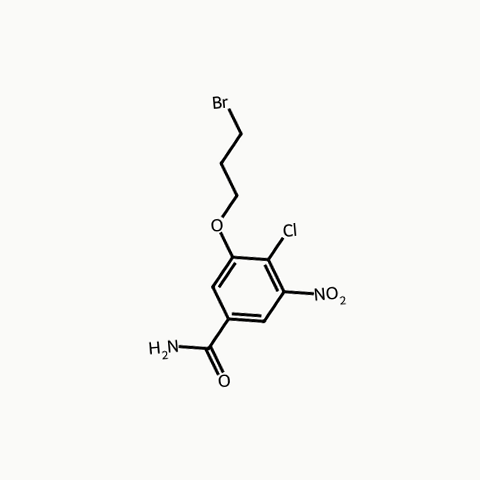 NC(=O)c1cc(OCCCBr)c(Cl)c([N+](=O)[O-])c1